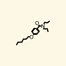 CCCCCCOc1ccc(C(=O)N(CCC)CCC)cc1